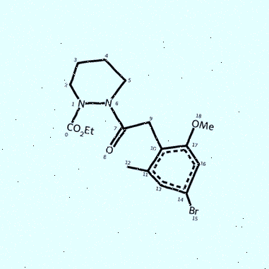 CCOC(=O)N1CCCCN1C(=O)Cc1c(C)cc(Br)cc1OC